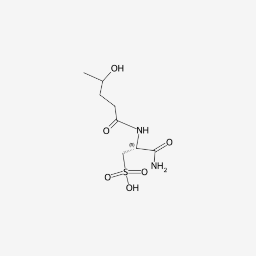 CC(O)CCC(=O)N[C@@H](CS(=O)(=O)O)C(N)=O